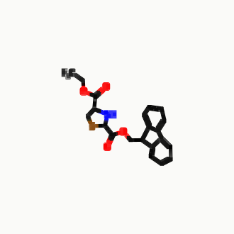 O=C(OCC(F)(F)F)C1CSC(C(=O)OCC2c3ccccc3-c3ccccc32)N1